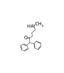 [CH3][AlH][CH2]CCC(=O)C(c1ccccc1)c1ccccc1